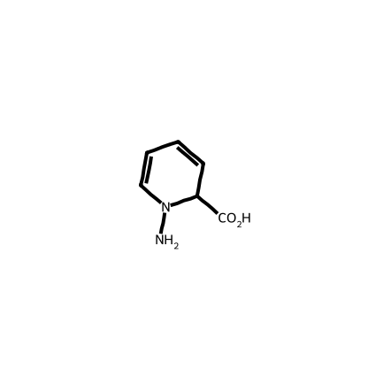 NN1C=CC=CC1C(=O)O